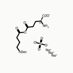 CCCCCCCCCCCCCC(=O)OC(=O)CC[C@H](N)C(=O)[O-].O=S(=O)([O-])[O-].[Na+].[Na+].[Na+]